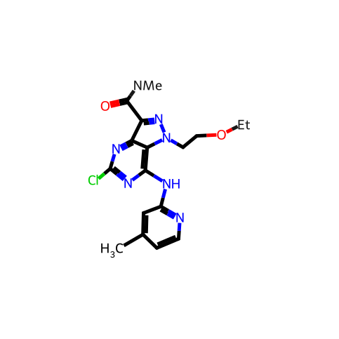 CCOCCn1nc(C(=O)NC)c2nc(Cl)nc(Nc3cc(C)ccn3)c21